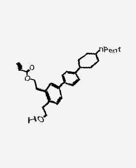 C=CC(=O)OCCc1cc(-c2ccc(C3CCC(CCCCC)CC3)cc2)ccc1CCO